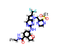 CCS(=O)(=O)c1nccnc1Cn1c(C(F)F)cc2cnc(Nc3ccc(C(=O)NCC(C)C)c4c3OCC4)nc21